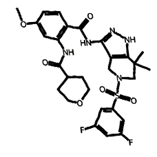 COc1ccc(C(=O)Nc2n[nH]c3c2CN(S(=O)(=O)c2cc(F)cc(F)c2)CC3(C)C)c(NC(=O)C2CCOCC2)c1